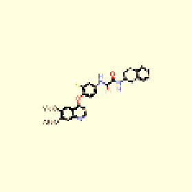 COc1cc2nccc(Oc3ccc(NC(=O)C(=O)NC4CCc5ccccc5C4)cc3F)c2cc1OC